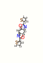 c1csc(-c2nc3cc4oc(-c5cccs5)nc4cc3o2)c1